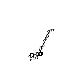 CCCOCCOCCOCCOCCNc1cccc2c1C(=O)N(C1CCC(=O)NC1=O)C2=O